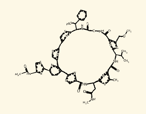 CNC(=O)CC1NC(=O)c2csc(n2)-c2ccc(-c3nc(NC(C)=O)cs3)nc2-c2csc(n2)-c2csc(n2)C(C(O)c2ccccc2)NC(=O)CNC(=O)c2nc(sc2COC)C(C(C)C)NC(=O)c2nc1sc2C